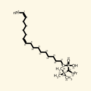 CCC/C=C\CCCC/C=C\CCCCCCCCCOP(=O)(O)C(CCC)[N+](C)(C)C